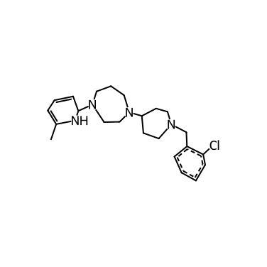 CC1=CC=CC(N2CCCN(C3CCN(Cc4ccccc4Cl)CC3)CC2)N1